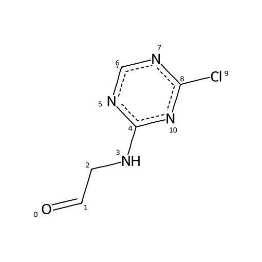 O=CCNc1n[c]nc(Cl)n1